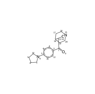 O=C(c1ccc(N2CCCC2)cc1)C1CN2CCC1CC2